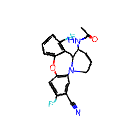 CC(=O)NC1CCCN2c3cc(C#N)c(F)cc3Oc3cccc(F)c3C12